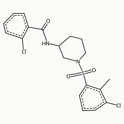 Cc1c(Cl)cccc1S(=O)(=O)N1CCCC(NC(=O)c2ccccc2Cl)C1